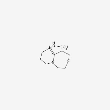 C1CCC2=NCCCN2CC1.O=C(O)O